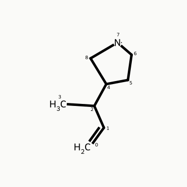 C=CC(C)C1CC[N]C1